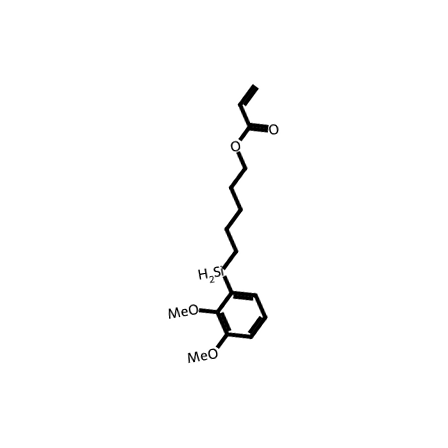 C=CC(=O)OCCCCC[SiH2]c1cccc(OC)c1OC